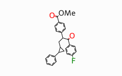 COC(=O)c1ccc(C(CC2CC2c2ccccc2)C(=O)c2ccc(F)cc2)cc1